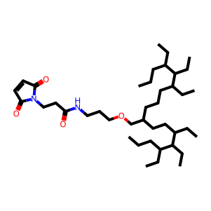 CCCC(CC)C(CC)C(CC)CCCC(CCC(CC)C(CC)C(CC)CCC)COCCCNC(=O)CCN1C(=O)C=CC1=O